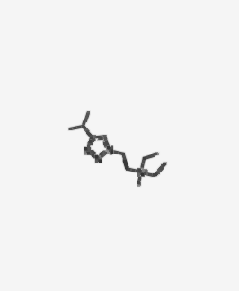 CC[N+](C)(CC)CCn1cc(C(C)C)nn1